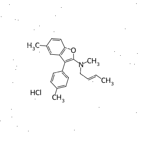 C/C=C/CN(C)c1oc2ccc(C)cc2c1-c1ccc(C)cc1.Cl